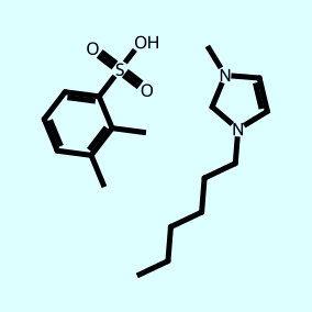 CCCCCCN1C=CN(C)C1.Cc1cccc(S(=O)(=O)O)c1C